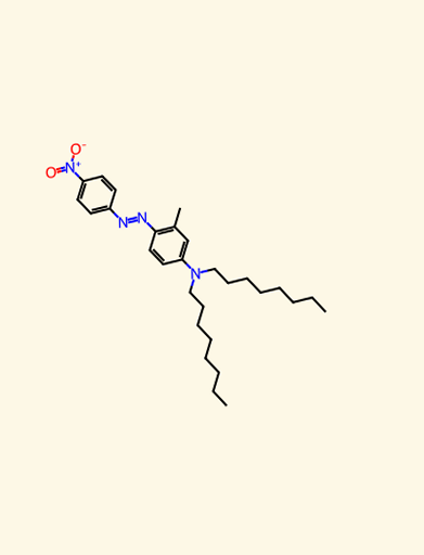 CCCCCCCCN(CCCCCCCC)c1ccc(/N=N/c2ccc([N+](=O)[O-])cc2)c(C)c1